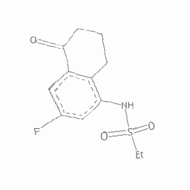 CCS(=O)(=O)Nc1cc(F)cc2c1CCCC2=O